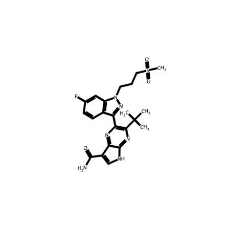 CC(C)(C)c1nc2[nH]cc(C(N)=O)c2nc1-c1nn(CCCS(C)(=O)=O)c2cc(F)ccc12